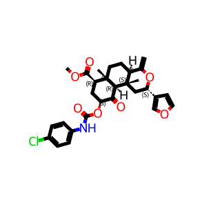 C=C1O[C@H](c2ccoc2)C[C@]2(C)[C@H]3C(=O)[C@@H](OC(=O)Nc4ccc(Cl)cc4)C[C@@H](C(=O)OC)[C@]3(C)CC[C@@H]12